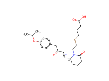 CC(C)Oc1ccc(CC(=O)/C=C/[C@H]2CCCC(=O)N2CCSCCCC(=O)O)cc1